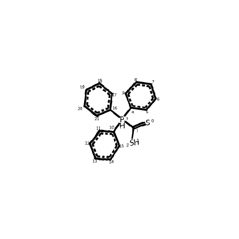 S=C(S)[PH](c1ccccc1)(c1ccccc1)c1ccccc1